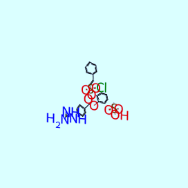 CS(=O)(=O)O.N=C(N)Nc1ccc(C(=O)Oc2cccc(Cl)c2OS(=O)(=O)C=Cc2ccccc2)cc1